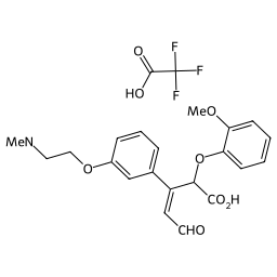 CNCCOc1cccc(C(=CC=O)C(Oc2ccccc2OC)C(=O)O)c1.O=C(O)C(F)(F)F